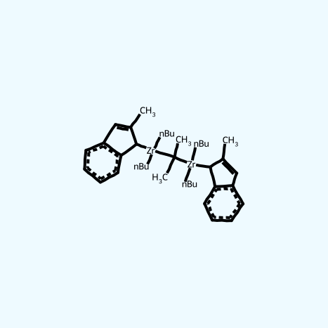 CCC[CH2][Zr]([CH2]CCC)([CH]1C(C)=Cc2ccccc21)[C](C)(C)[Zr]([CH2]CCC)([CH2]CCC)[CH]1C(C)=Cc2ccccc21